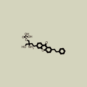 NC(CO)(CCc1ccc2c(=O)c3cc(CCc4ccccc4)ccc3oc2c1)COP(=O)(O)O